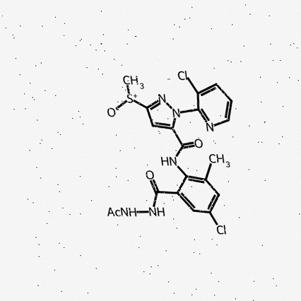 CC(=O)NNC(=O)c1cc(Cl)cc(C)c1NC(=O)c1cc([S+](C)[O-])nn1-c1ncccc1Cl